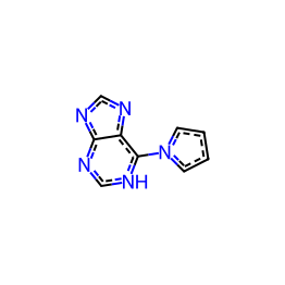 c1ccn(-c2[nH]cnc3ncnc2-3)c1